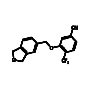 N#Cc1ccc(C(F)(F)F)c(OCc2ccc3c(c2)COC3)c1